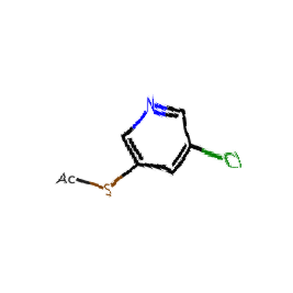 CC(=O)Sc1cncc(Cl)c1